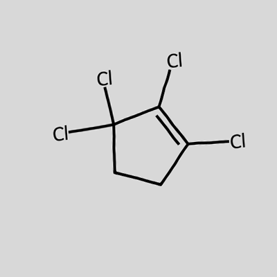 ClC1=C(Cl)C(Cl)(Cl)CC1